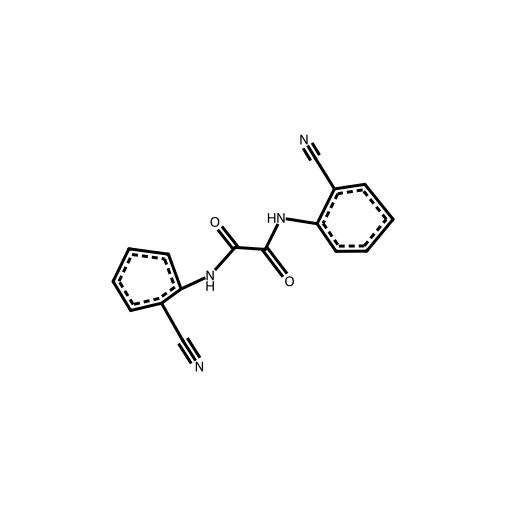 N#Cc1ccccc1NC(=O)C(=O)Nc1ccccc1C#N